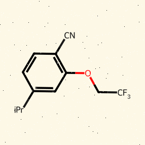 CC(C)c1ccc(C#N)c(OCC(F)(F)F)c1